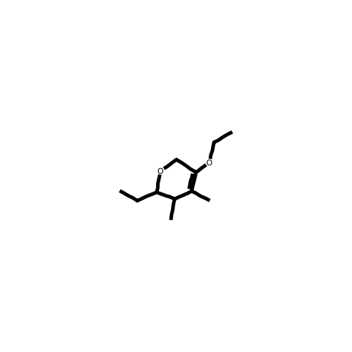 CCOC1=C(C)C(C)C(CC)OC1